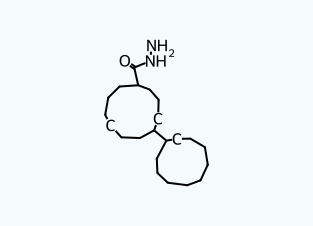 NNC(=O)C1CCCCCCC(C2CCCCCCCCC2)CCC1